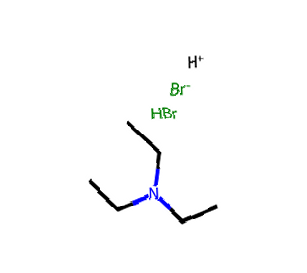 Br.CCN(CC)CC.[Br-].[H+]